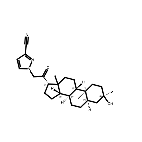 CC12CC[C@H]3[C@@H](CC[C@@H]4C[C@](C)(O)CC[C@@]43C)[C@@H]1CC[C@@H]2C(=O)Cn1ccc(C#N)n1